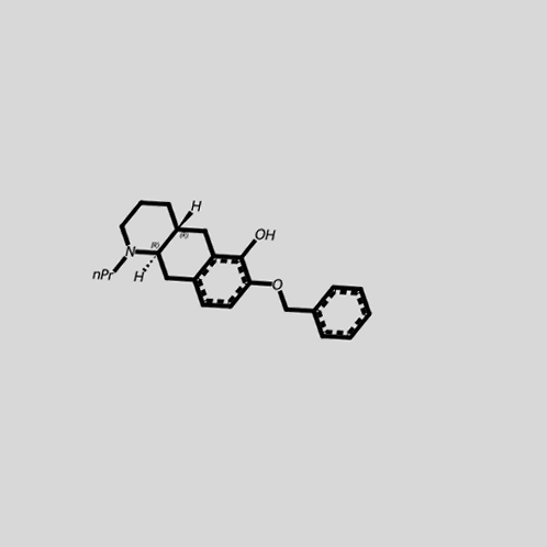 CCCN1CCC[C@@H]2Cc3c(ccc(OCc4ccccc4)c3O)C[C@H]21